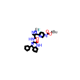 CCn1ncc(C(=O)N[C@H]2N=C(c3ccccc3)c3ccccc3NC2=O)c1-c1ncc(N(C)C(=O)OC(C)(C)C)cc1F